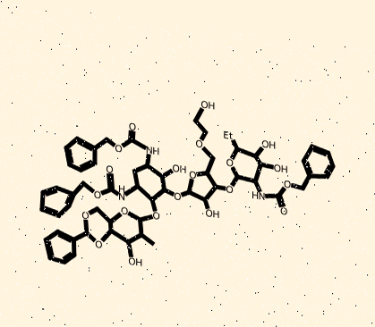 CCC1OC(OC2C(COCCO)OC(OC3C(O)C(NC(=O)OCc4ccccc4)CC(NC(=O)OCc4ccccc4)C3OC3OC4COC(c5ccccc5)OC4C(O)C3C)C2O)C(NC(=O)OCc2ccccc2)C(O)C1O